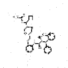 NC(=O)OC(C1CCC1)[C@@H]1CO[C@H](CCc2ccccc2NC(=O)[C@@H](NC(=O)O)C(c2ccccc2)c2ccccc2)CN1